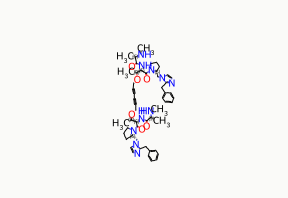 CN[C@@H](C)C(=O)N[C@H](C(=O)N1CCC[C@H]1Cn1ccnc1Cc1ccccc1)[C@@H](C)OCC#CC#CCO[C@H](C)[C@H](NC(=O)[C@H](C)NC)C(=O)N1CCC[C@H]1Cn1ccnc1Cc1ccccc1